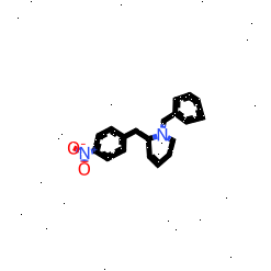 O=[N+]([O-])c1ccc(CC2C=CCCN2Cc2ccccc2)cc1